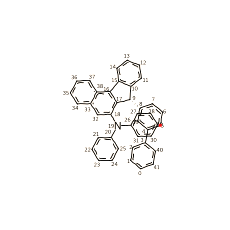 c1ccc(-c2cccc([C@H]3c4ccccc4-c4c3c(N(c3ccccc3)c3ccccc3)cc3ccccc43)c2)cc1